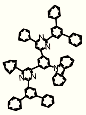 c1ccc(-c2cc(-c3ccccc3)cc(-c3nc(-c4ccccc4)cc(-c4cc(-c5cc(-c6ccccc6)nc(-c6cc(-c7ccccc7)cc(-c7ccccc7)c6)n5)cc(-n5c6ccccc6c6ccccc65)c4)n3)c2)cc1